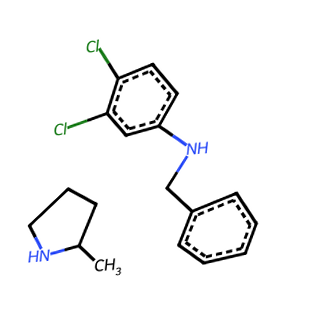 CC1CCCN1.Clc1ccc(NCc2ccccc2)cc1Cl